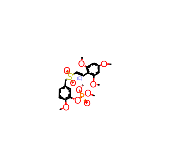 COc1cc(OC)c(/C=C/S(=O)(=O)Cc2ccc(OC)c(OP(=O)(OC)OC)c2)c(OC)c1